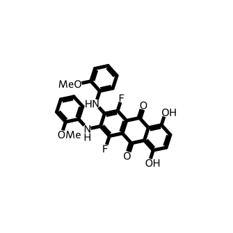 COc1ccccc1Nc1c(F)c2c(c(F)c1Nc1ccccc1OC)C(=O)c1c(O)ccc(O)c1C2=O